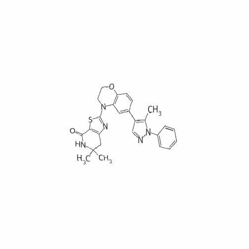 Cc1c(-c2ccc3c(c2)N(c2nc4c(s2)C(=O)NC(C)(C)C4)CCO3)cnn1-c1ccccc1